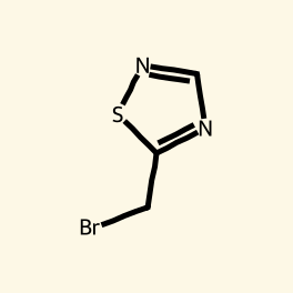 BrCc1ncns1